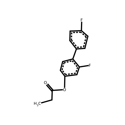 CCC(=O)Oc1ccc(-c2ccc(F)cc2)c(F)c1